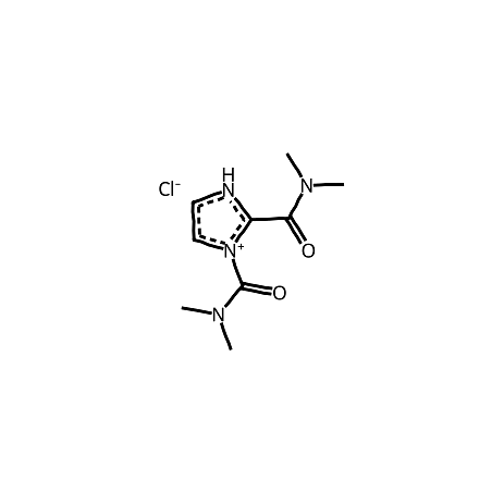 CN(C)C(=O)c1[nH]cc[n+]1C(=O)N(C)C.[Cl-]